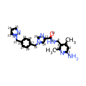 Cc1cc(N)nc(C)c1CNC(=O)c1cn(Cc2ccc(Cn3cccn3)cc2)cn1